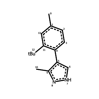 Cc1ccc(-c2c[nH]nc2C)c(C(C)(C)C)c1